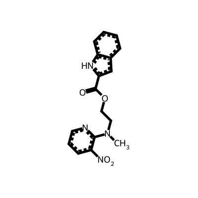 CN(CCOC(=O)c1cc2ccccc2[nH]1)c1ncccc1[N+](=O)[O-]